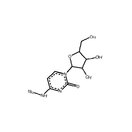 CC(C)(C)Nc1ccn(C2OC(CO)C(O)C2O)c(=O)n1